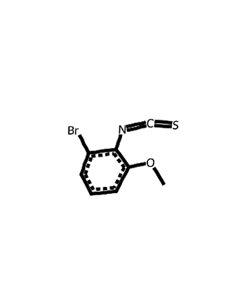 COc1cccc(Br)c1N=C=S